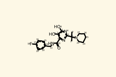 CC(C)(c1nc(O)c(O)c(C(=O)NCc2ccc(F)cc2)n1)N1CCCCC1